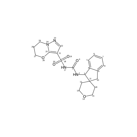 O=C(NC1c2ccccc2CC12CCOCC2)NS(=O)(=O)c1cnn2c1OCCC2